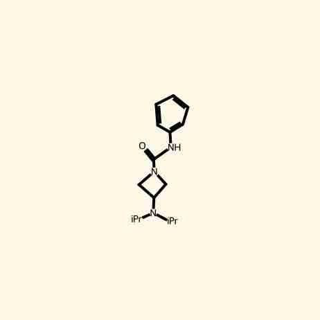 CC(C)N(C(C)C)C1CN(C(=O)Nc2ccccc2)C1